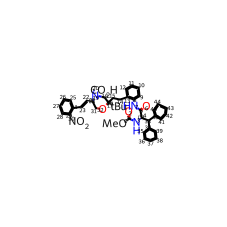 COC(=O)N[C@H](C(=O)Nc1ccccc1CC[C@@]1(C(C)(C)C)CN(C(=O)O)[C@H](C=Cc2ccccc2[N+](=O)[O-])CO1)C(c1ccccc1)c1ccccc1